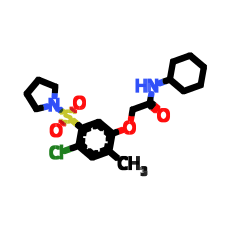 Cc1cc(Cl)c(S(=O)(=O)N2CCCC2)cc1OCC(=O)NC1CCCCC1